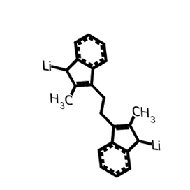 [Li][CH]1C(C)=C(CCC2=C(C)[CH]([Li])c3ccccc32)c2ccccc21